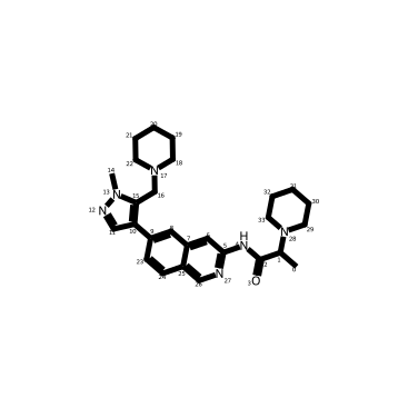 CC(C(=O)Nc1cc2cc(-c3cnn(C)c3CN3CCCCC3)ccc2cn1)N1CCCCC1